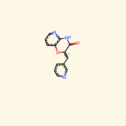 O=C1Nc2ncccc2O/C1=C\c1cccnc1